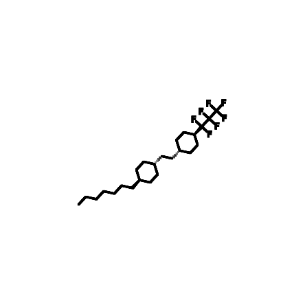 CCCCCCC[C@H]1CC[C@H](CC[C@H]2CC[C@H](C(F)(F)C(F)(F)C(F)(F)F)CC2)CC1